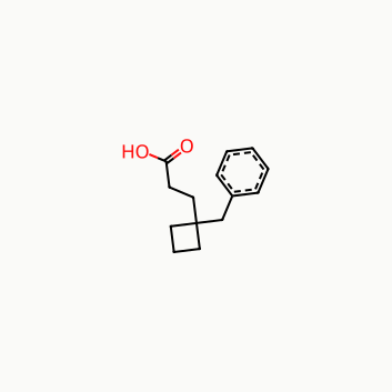 O=C(O)CCC1(Cc2ccccc2)CCC1